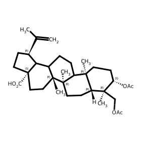 C=C(C)[C@@H]1CC[C@]2(C(=O)O)CC[C@]3(C)C(CCC4[C@@]5(C)CC[C@H](OC(C)=O)[C@@](C)(COC(C)=O)[C@@H]5CC[C@]43C)C12